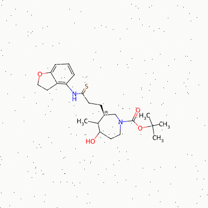 CC1C(O)CCN(C(=O)OC(C)(C)C)C[C@@H]1CCC(=S)Nc1cccc2c1CCO2